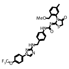 COCc1ccc(C)cc1N1C(=O)CS/C1=N\C(=O)Nc1ccc(CNc2ncn(-c3ccc(OC(F)(F)F)cc3)n2)cc1